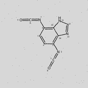 O=C=Nc1ccc(N=C=O)c2[nH]cnc12